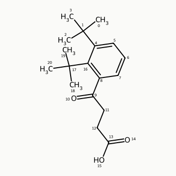 CC(C)(C)c1cccc(C(=O)CCC(=O)O)c1C(C)(C)C